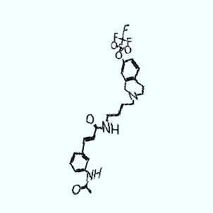 CC(=O)Nc1cccc(/C=C/C(=O)NCCCCN2CCc3ccc(OS(=O)(=O)C(F)(F)F)cc3C2)c1